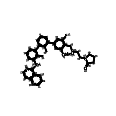 COc1cc(-c2cccc(-c3cccc(Nc4nccc5nccnc45)c3C)c2C)cc(F)c1CNCCN1CCCC1=O